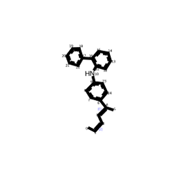 C/C=C\C=C(/C)c1ccc(Nc2ccccc2-c2ccccc2)cc1